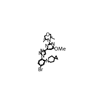 COc1cc(-c2cn(-c3ccc(Br)cc3N3CCC4(CC3)CC4)nn2)nc(N2[C@H](C)COC[C@@H]2C)n1